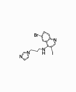 Brc1ccc2ncc(I)c(NCCCn3ccnc3)c2c1